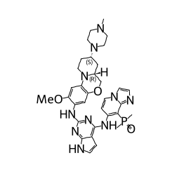 COc1cc2c(cc1Nc1nc(Nc3ccn4ccnc4c3P(C)(C)=O)c3cc[nH]c3n1)OC[C@H]1C[C@@H](N3CCN(C)CC3)CCN21